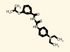 CCN(CC)c1ccc(NC(=S)NC(=O)c2cccc(OC(C)C)c2)cc1